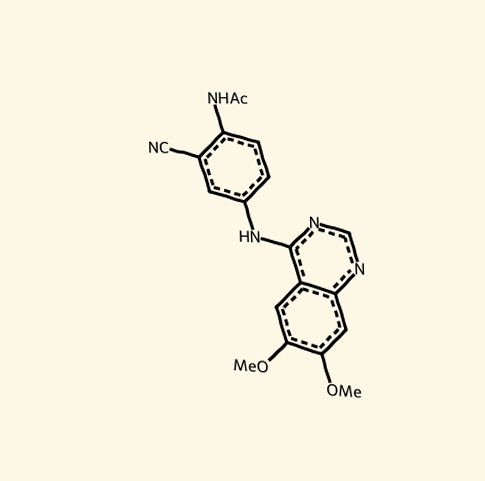 COc1cc2ncnc(Nc3ccc(NC(C)=O)c(C#N)c3)c2cc1OC